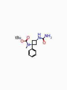 CN(C(=O)OC(C)(C)C)[C@]1(c2ccccc2)C[C@H](NC(N)=O)C1